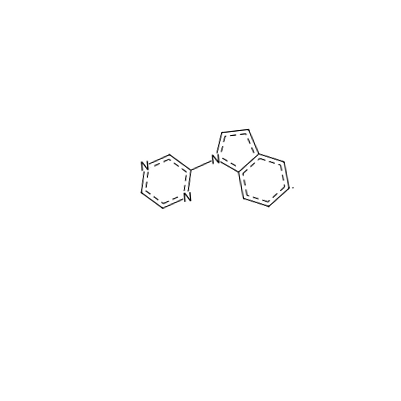 [c]1ccc2c(c1)ccn2-c1cnccn1